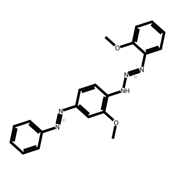 COc1ccccc1/N=N/Nc1ccc(/N=N/c2ccccc2)cc1OC